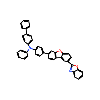 c1ccc(-c2ccc(N(c3ccccc3)c3ccc(-c4ccc5c(c4)oc4ccc(-c6nc7ccccc7o6)cc45)cc3)cc2)cc1